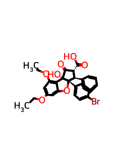 CCOc1cc(OCC)c2c(c1)O[C@@]1(c3ccc(Br)cc3)[C@H](c3ccccc3)[C@@H](C(=O)O)C(=O)[C@@]21O